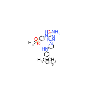 CC(C)(C)c1ccc(N[C@@H]2CCCN(c3nnc(C(N)=O)c(Nc4ccc(S(C)(=O)=O)cc4)n3)C2)cc1